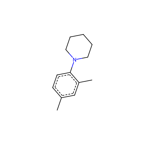 Cc1ccc(N2CCCCC2)c(C)c1